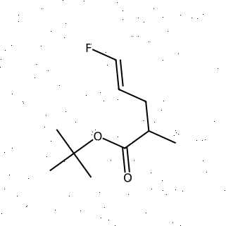 CC(CC=CF)C(=O)OC(C)(C)C